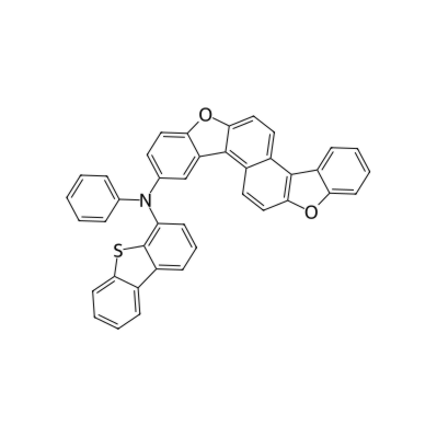 c1ccc(N(c2ccc3oc4ccc5c(ccc6oc7ccccc7c65)c4c3c2)c2cccc3c2sc2ccccc23)cc1